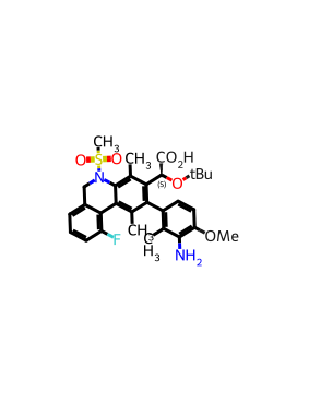 COc1ccc(-c2c(C)c3c(c(C)c2[C@H](OC(C)(C)C)C(=O)O)N(S(C)(=O)=O)Cc2cccc(F)c2-3)c(C)c1N